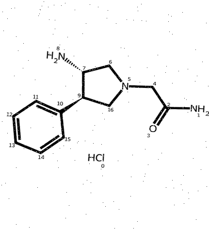 Cl.NC(=O)CN1C[C@@H](N)[C@H](c2ccccc2)C1